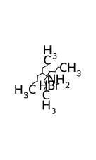 Br.CCCCC(CCC)C(N)(CCCC)CCCC